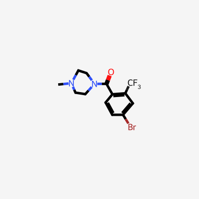 CN1CCN(C(=O)c2ccc(Br)cc2C(F)(F)F)CC1